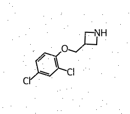 Clc1ccc(OCC2CNC2)c(Cl)c1